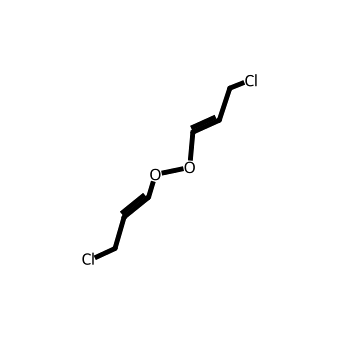 ClCC=COOC=CCCl